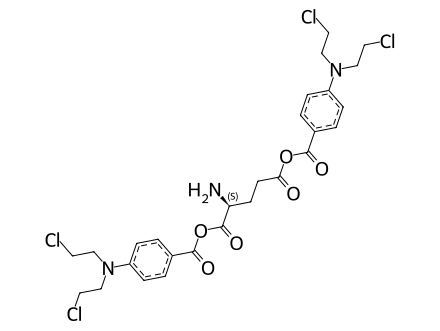 N[C@@H](CCC(=O)OC(=O)c1ccc(N(CCCl)CCCl)cc1)C(=O)OC(=O)c1ccc(N(CCCl)CCCl)cc1